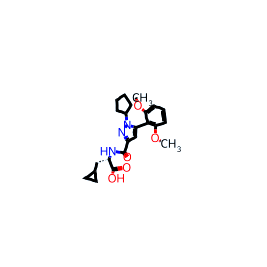 COc1cccc(OC)c1-c1cc(C(=O)N[C@@H](CC2CC2)C(=O)O)nn1C1CCCC1